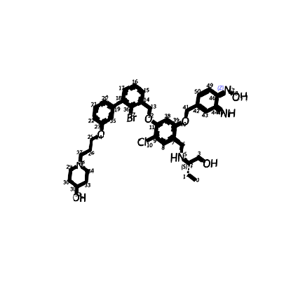 CC[C@@H](CO)NCc1cc(Cl)c(OCc2cccc(-c3cccc(OCCCN4CCC(O)CC4)c3)c2Br)cc1OCC1=CC(=N)/C(=N\O)C=C1